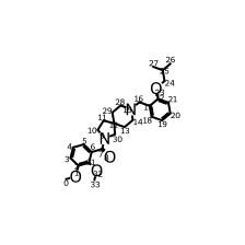 COc1cccc(C(=O)N2CCC3(CCN(Cc4ccccc4OCC(C)C)CC3)C2)c1OC